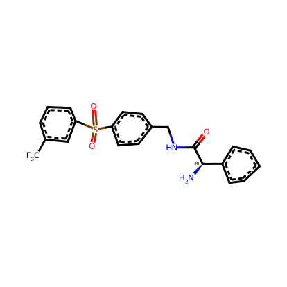 N[C@@H](C(=O)NCc1ccc(S(=O)(=O)c2cccc(C(F)(F)F)c2)cc1)c1ccccc1